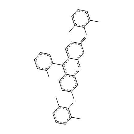 Cc1cccc(C)c1/N=c1\ccc2c(-c3ccccc3S(=O)(=O)O)c3ccc(Nc4c(C)cccc4C)cc3oc-2c1